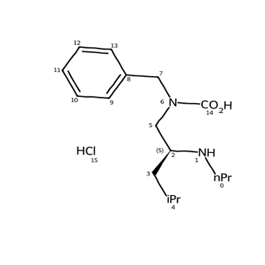 CCCN[C@@H](CC(C)C)CN(Cc1ccccc1)C(=O)O.Cl